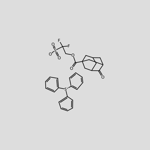 O=C1C2CC3CC1CC(C(=O)OCC(F)(F)S(=O)(=O)[O-])(C3)C2.c1ccc([S+](c2ccccc2)c2ccccc2)cc1